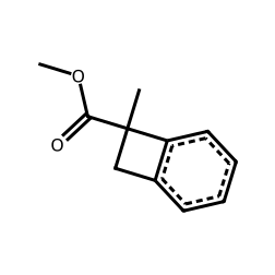 COC(=O)C1(C)Cc2ccccc21